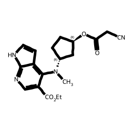 CCOC(=O)c1cnc2[nH]ccc2c1N(C)[C@@H]1CC[C@@H](OC(=O)CC#N)C1